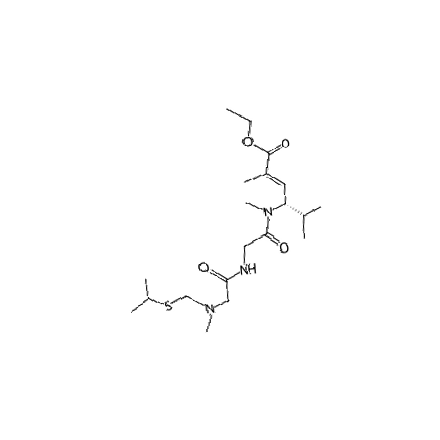 CCOC(=O)/C(C)=C/[C@H](C(C)C)N(C)C(=O)CNC(=O)CN(C)CSC(C)C